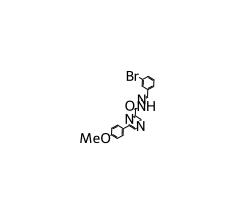 COc1ccc(-c2cncc(C(=O)NN=Cc3cccc(Br)c3)n2)cc1